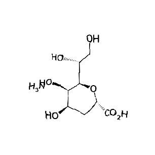 N.O=C(O)[C@@H]1C[C@@H](O)[C@@H](O)[C@@H]([C@H](O)CO)O1